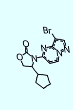 O=C1OCC(C2CCCC2)N1c1ccn2ncc(Br)c2n1